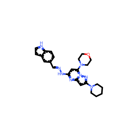 C(=N\Nc1cc(N2CCOCC2)n2nc(N3CCCCC3)cc2n1)/c1ccc2[nH]ccc2c1